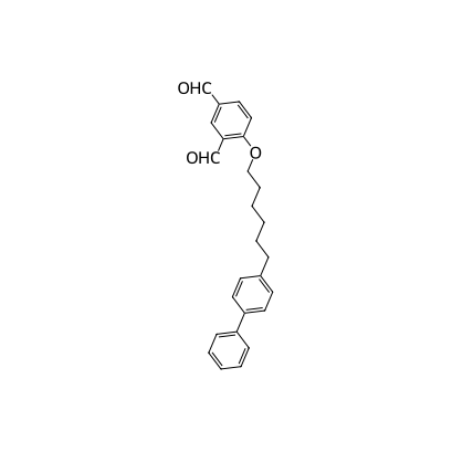 O=Cc1ccc(OCCCCCCc2ccc(-c3ccccc3)cc2)c(C=O)c1